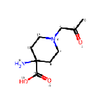 CC(=O)CN1CCC(N)(C(=O)O)CC1